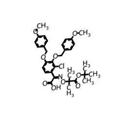 COc1ccc(COc2ccc(C(=NOC(C)(C)C(=O)OC(C)(C)C)C(=O)O)c(Cl)c2OCc2ccc(OC)cc2)cc1